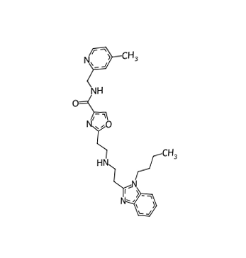 CCCCn1c(CCNCCc2nc(C(=O)NCc3cc(C)ccn3)co2)nc2ccccc21